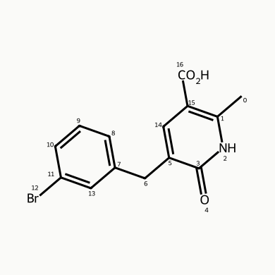 Cc1[nH]c(=O)c(Cc2cccc(Br)c2)cc1C(=O)O